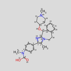 Cc1c(-c2ccc(N(C)C(=O)O)cc2)nc2n1CCc1ccccc1C2OC1CCN(C)CC1